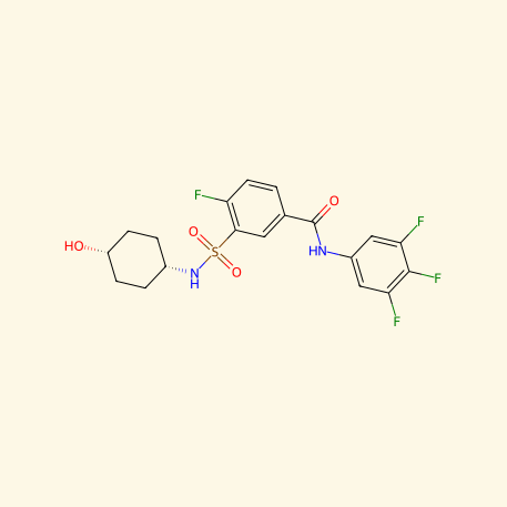 O=C(Nc1cc(F)c(F)c(F)c1)c1ccc(F)c(S(=O)(=O)N[C@H]2CC[C@@H](O)CC2)c1